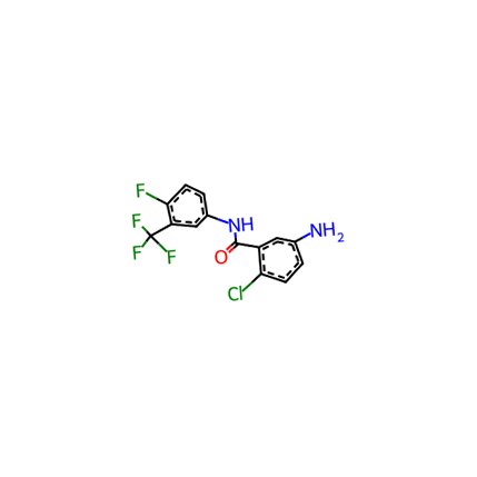 Nc1ccc(Cl)c(C(=O)Nc2ccc(F)c(C(F)(F)F)c2)c1